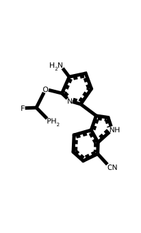 N#Cc1cccc2c(-c3ccc(N)c(OC(F)P)n3)c[nH]c12